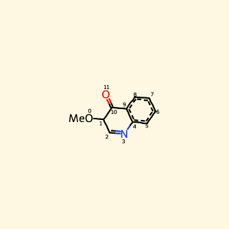 COC1C=Nc2ccccc2C1=O